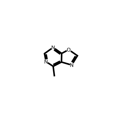 Cc1ncnc2ocnc12